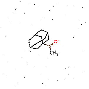 C[S+]([O-])C12CC3CC(CC(C3)C1)C2